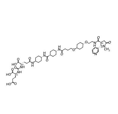 CN1C(=O)C[C@H](C(=O)NCCO[C@H]2CC[C@H](OCCCC(=O)N[C@H]3CC[C@H](C(=O)N[C@H]4CC[C@H](NC(=O)CC[C@H](NC(=O)N[C@@H](CCC(=O)O)C(=O)O)C(=O)O)CC4)CC3)CC2)[C@H]1c1cccnc1